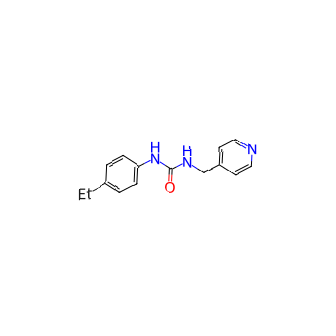 CCc1ccc(NC(=O)NCc2ccncc2)cc1